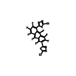 CCc1nnc(-c2c(F)c(F)c3c(F)c4c(-c5nnc(CC)s5)c(F)c(F)c(F)c4c(F)c3c2F)s1